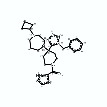 O=C(c1ncc[nH]1)N1CCC(c2nnnn2Cc2ccccc2)(N2CCCN(C3CCC3)CC2)CC1